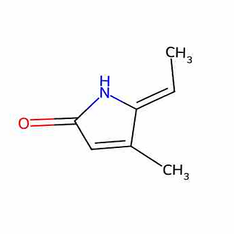 CC=C1NC(=O)C=C1C